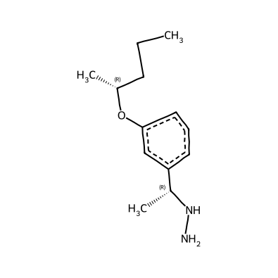 CCC[C@@H](C)Oc1cccc([C@@H](C)NN)c1